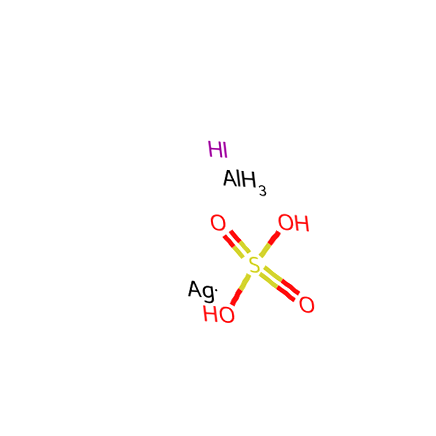 I.O=S(=O)(O)O.[Ag].[AlH3]